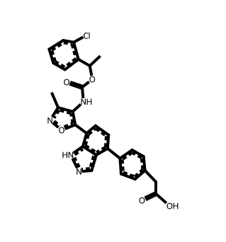 Cc1noc(-c2ccc(-c3ccc(CC(=O)O)cc3)c3cn[nH]c23)c1NC(=O)OC(C)c1ccccc1Cl